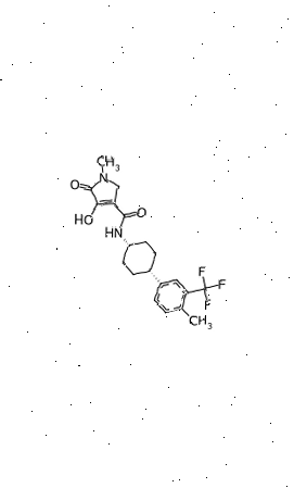 Cc1ccc([C@H]2CC[C@@H](NC(=O)C3=C(O)C(=O)N(C)C3)CC2)cc1C(F)(F)F